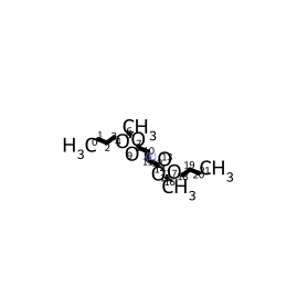 CCCCOC(C)OC(=O)/C=C/C(=O)OC(C)OCCCC